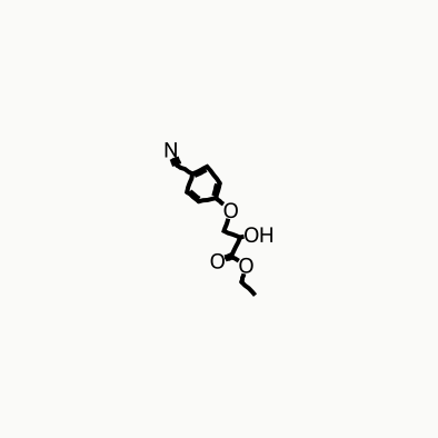 CCOC(=O)C(O)COc1ccc(C#N)cc1